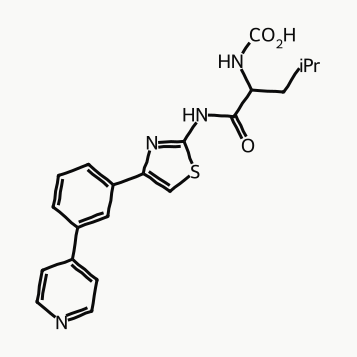 CC(C)CC(NC(=O)O)C(=O)Nc1nc(-c2cccc(-c3ccncc3)c2)cs1